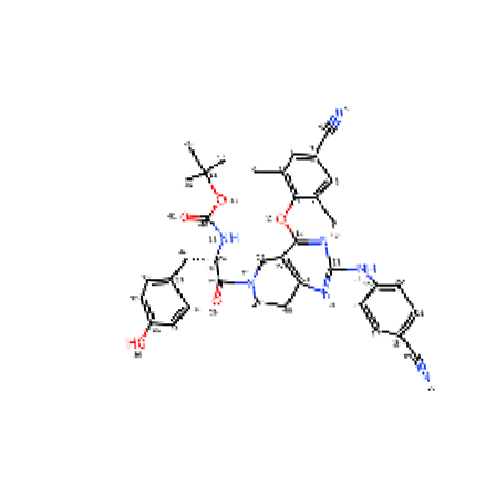 Cc1cc(C#N)cc(C)c1Oc1nc(Nc2ccc(C#N)cc2)nc2c1CN(C(=O)[C@H](Cc1ccc(O)cc1)NC(=O)OC(C)(C)C)CC2